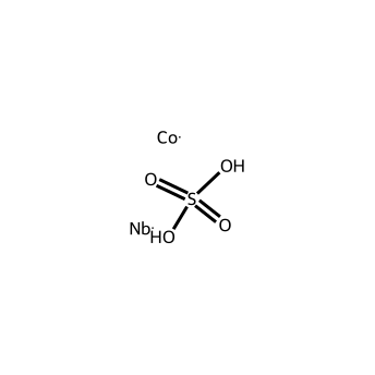 O=S(=O)(O)O.[Co].[Nb]